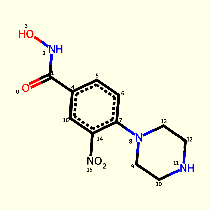 O=C(NO)c1ccc(N2CCNCC2)c([N+](=O)[O-])c1